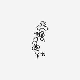 CCOC(=O)C(NC(=O)c1cccc2c1-c1ccccc1C21SCCS1)c1ccc2c(c1)CN(S(=O)(=O)c1ccc(F)c(C#N)c1)CC2